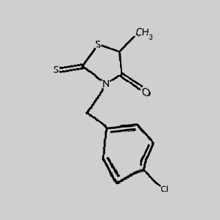 CC1SC(=S)N(Cc2ccc(Cl)cc2)C1=O